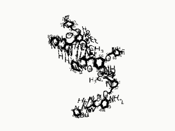 CCS(=O)(=O)Nc1c(CC(C)(C)n2nc(-c3ccc(NS(=O)(=O)C(C)c4nc(COc5cc(-c6nn(C(C)(C)C)c(Nc7ccccn7)c6C(N)=O)ccc5N)ccc4F)c(OCc4ccc(F)cn4)c3)c(C(N)=O)c2Nc2ccccn2)cc(-c2n[nH]c(Nc3ccccn3)c2C(N)=O)cc1OCc1ccc(F)cn1